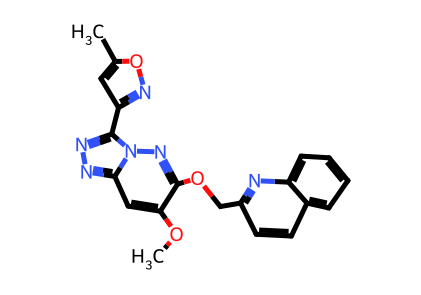 COc1cc2nnc(-c3cc(C)on3)n2nc1OCc1ccc2ccccc2n1